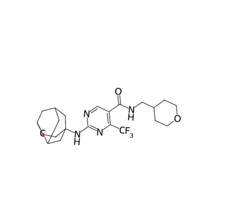 O=C(NCC1CCOCC1)c1cnc(NC23CCC4CC(CC(C4)C2)C3)nc1C(F)(F)F